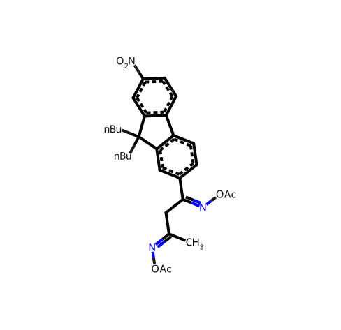 CCCCC1(CCCC)c2cc(/C(C/C(C)=N/OC(C)=O)=N\OC(C)=O)ccc2-c2ccc([N+](=O)[O-])cc21